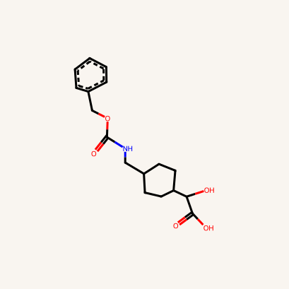 O=C(NCC1CCC(C(O)C(=O)O)CC1)OCc1ccccc1